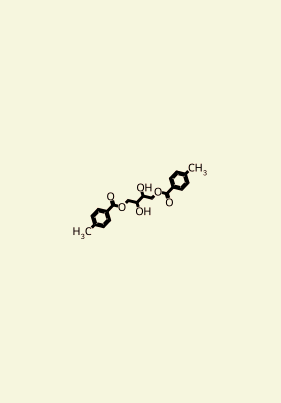 Cc1ccc(C(=O)OCC(O)C(O)COC(=O)c2ccc(C)cc2)cc1